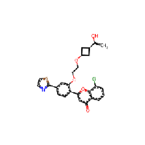 C=C(O)[C@H]1C[C@@H](OCCOc2cc(-c3nccs3)ccc2-c2cc(=O)c3cccc(Cl)c3o2)C1